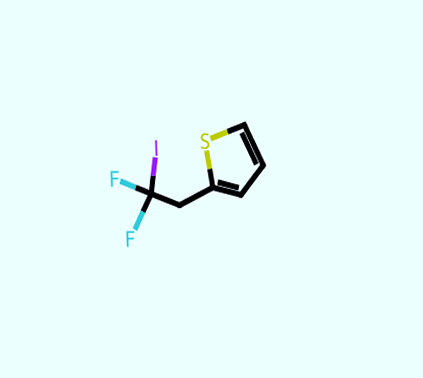 FC(F)(I)Cc1cccs1